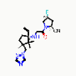 C=C[C@@]1(NCC(=O)N2C[C@@H](F)C[C@H]2C#N)CC[C@](C)(Cn2cncn2)C1(C)C